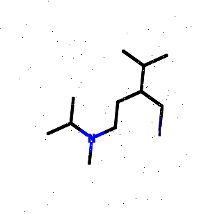 CC(C)C(CI)CCN(C)C(C)C